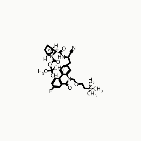 CC(C)(C)OC(=O)N1[C@@H]2CC[C@@H](C2)[C@H]1C(=O)NC(C#N)Cc1ccc2c3ccc(F)cc3c(=O)n(COCCS(C)(C)C)c2c1